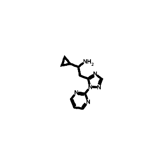 NC(Cc1ncnn1-c1ncccn1)C1CC1